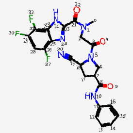 CN(CC(=O)N1CC(C(=O)Nc2ccccc2)CC1C#N)C(=O)c1nc2c(F)cc(F)c(F)c2[nH]1